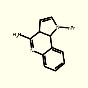 CCCN1C=CC2C(N)=Nc3ccccc3C21